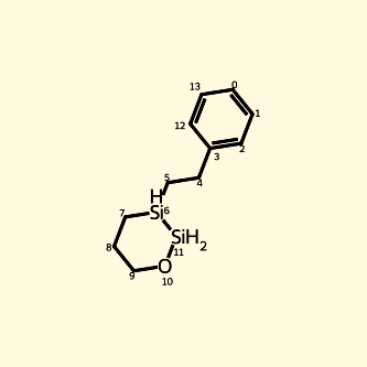 c1ccc(CC[SiH]2CCCO[SiH2]2)cc1